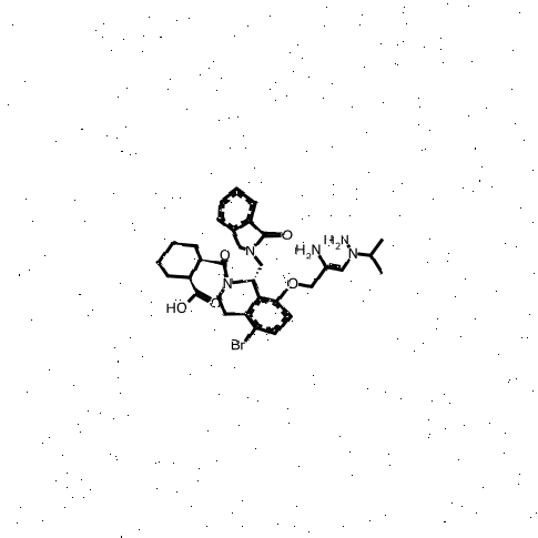 CC(C)N(N)/C=C(\N)COc1ccc(Br)c2c1[C@@H](CN1Cc3ccccc3C1=O)N(C(=O)[C@@H]1CCCC[C@@H]1C(=O)O)CC2